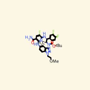 COCCn1ncc2cc(Nc3nc(N[C@H](c4ccc(F)c(F)c4)[C@H](C)NC(=O)OC(C)(C)C)c(F)cc3C(N)=O)ccc21